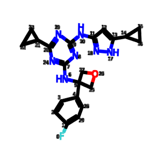 Fc1ccc(C2(Nc3nc(Nc4cc(C5CC5)[nH]n4)nc(C4CC4)n3)COC2)cc1